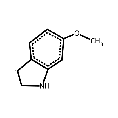 COc1ccc2c(c1)NC[CH]2